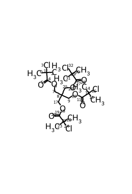 CC(C)(Cl)C(=O)OCC(COC(=O)C(C)(C)Cl)(COC(=O)C(C)(C)Cl)COC(=O)C(C)(C)Cl